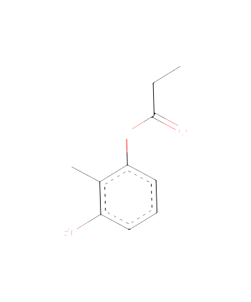 CCC(=O)Oc1cccc(Br)c1C